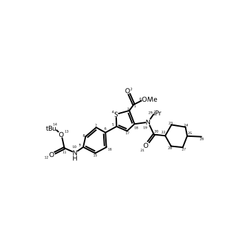 COC(=O)c1sc(-c2ccc(NC(=O)OC(C)(C)C)cc2)cc1N(C(=O)C1CCC(C)CC1)C(C)C